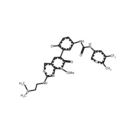 COn1c(=O)c(-c2cc(NC(=O)Nc3ccc(C)c(C(F)(F)F)c3)ccc2Cl)cc2cnc(NCCN(C)C)nc21